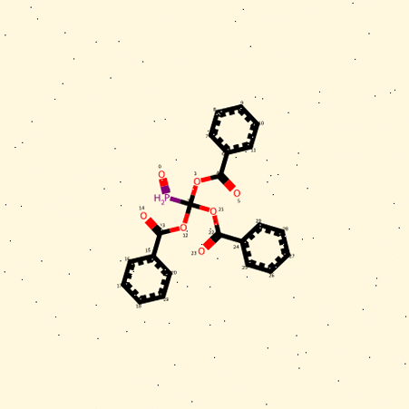 O=[PH2]C(OC(=O)c1ccccc1)(OC(=O)c1ccccc1)OC(=O)c1ccccc1